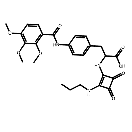 CCCNc1c(NC(Cc2ccc(NC(=O)c3ccc(OC)c(OC)c3OC)cc2)C(=O)O)c(=O)c1=O